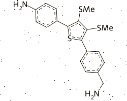 CSc1c(-c2ccc(N)cc2)sc(-c2ccc(CN)cc2)c1SC